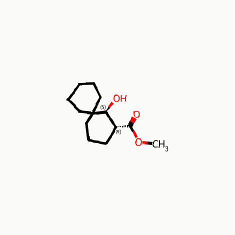 COC(=O)[C@@H]1CCCC2(CCCCC2)[C@H]1O